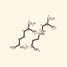 CSCC[C@H](N)C(=O)O.NCCCC[C@H](N)C(=O)O.N[C@@H](CO)C(=O)O